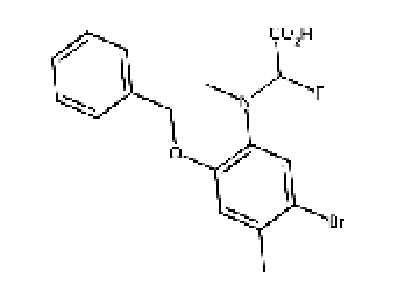 Cc1cc(OCc2ccccc2)c(N(C)C(F)C(=O)O)cc1Br